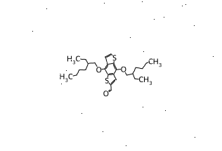 CCCCC(CC)COc1c2cc(C=O)sc2c(OCC(CC)CCCC)c2ccsc12